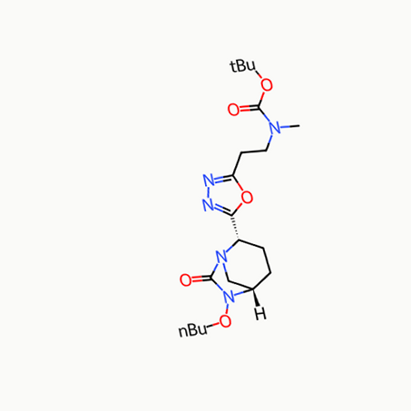 CCCCON1C(=O)N2C[C@@H]1CC[C@H]2c1nnc(CCN(C)C(=O)OC(C)(C)C)o1